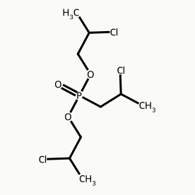 CC(Cl)COP(=O)(CC(C)Cl)OCC(C)Cl